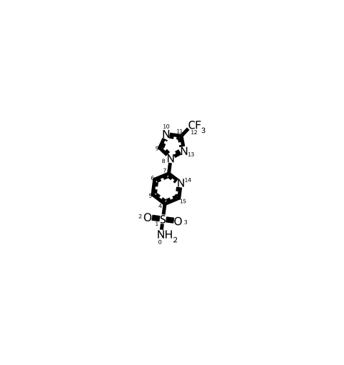 NS(=O)(=O)c1ccc(-n2cnc(C(F)(F)F)n2)nc1